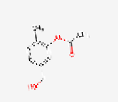 CC(=O)Oc1cc(CO)ccc1C